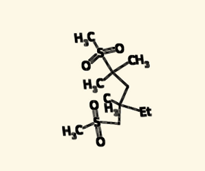 CCC(C)(CC(C)(C)S(C)(=O)=O)CS(C)(=O)=O